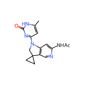 CC(=O)Nc1cc2c(cn1)C1(CC1)CN2c1cc(C)[nH]c(=O)n1